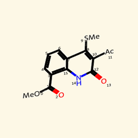 COC(=O)c1cccc2c(SC)c(C(C)=O)c(=O)[nH]c12